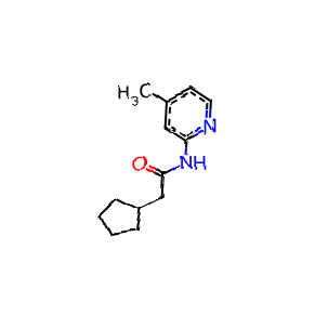 Cc1ccnc(NC(=O)CC2CCCC2)c1